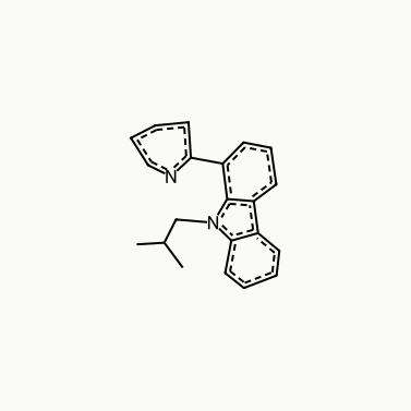 CC(C)Cn1c2ccccc2c2cccc(-c3ccccn3)c21